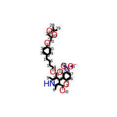 COC(=O)C1=C(C)NC(C)=C(C(=O)OCCCCc2ccc(OCC3COC(C)(C)O3)cc2)C1c1cccc([N+](=O)[O-])c1